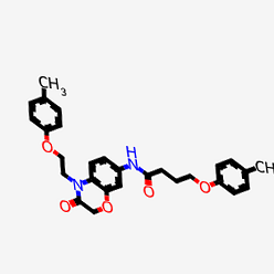 Cc1ccc(OCCCC(=O)Nc2ccc3c(c2)OCC(=O)N3CCOc2ccc(C)cc2)cc1